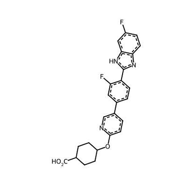 O=C(O)C1CCC(Oc2ccc(-c3ccc(-c4nc5ccc(F)cc5[nH]4)c(F)c3)cn2)CC1